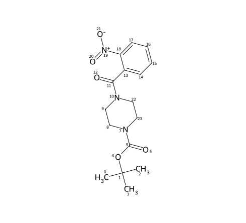 CC(C)(C)OC(=O)N1CCN(C(=O)c2ccccc2[N+](=O)[O-])CC1